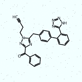 C#CCCn1nc(C(=O)c2ccccc2)nc1Cc1ccc(-c2ccccc2-c2nnn[nH]2)cc1